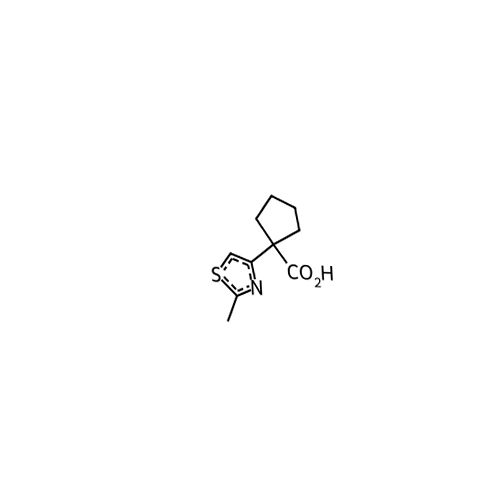 Cc1nc(C2(C(=O)O)CCCC2)cs1